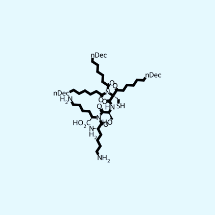 CCCCCCCCCCCCCCCC(=O)N(C(=O)CCCCCCCCCCCCCCC)[C@@](CS)(C(=O)CCCCCCCCCCCCCCC)C(=O)N[C@@H](CO)C(=O)N(C(=O)[C@@H](N)CCCCN)[C@@H](CCCCN)C(=O)O